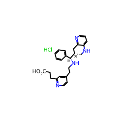 Cl.O=C(O)CCc1cc(CCN[C@H](c2ccccc2)[C@H]2CNc3cccnc3C2)ccn1